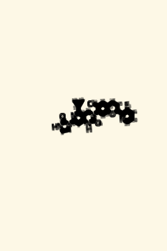 O=C1NCCN1c1cc2c(c(C3CC3)n1)CN(c1cc3c(cc1Cl)CCC(c1ncccc1F)O3)C(=O)N2